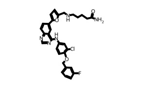 NC(=O)CCCCNCc1ccc(-c2ccc3ncnc(Nc4ccc(OCc5cccc(F)c5)c(Cl)c4)c3c2)o1